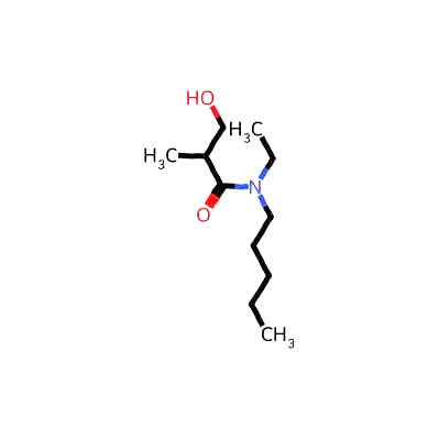 CCCCCN(CC)C(=O)C(C)CO